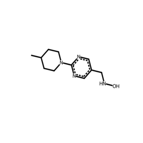 CC1CCN(c2ncc(CNO)cn2)CC1